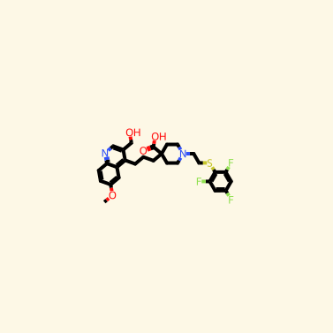 COc1ccc2ncc(CO)c(CCCC3(C(=O)O)CCN(CCSc4c(F)cc(F)cc4F)CC3)c2c1